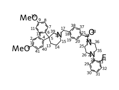 COc1ccc(C2(c3ccc(OC)cc3)CCCN(Cc3ccc(C(=O)N4CCN(c5ccccc5F)CC4)cc3)C2)cc1